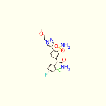 COCCn1cc(-c2ccc(C(C(N)=O)c3ccc(F)cc3Cl)cc2S(N)(=O)=O)cn1